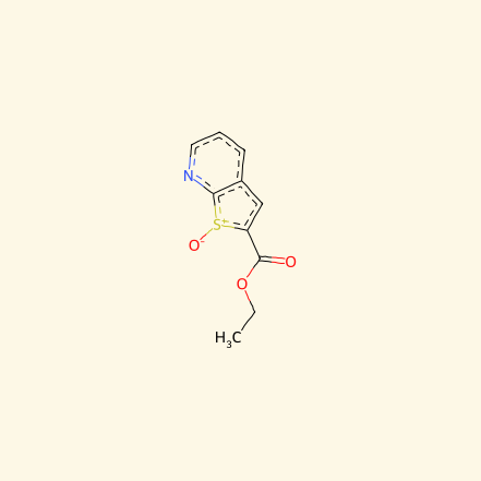 CCOC(=O)c1cc2cccnc2[s+]1[O-]